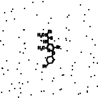 CCN(C)C(=S)Nc1cc(Br)c(OC2CCC(C(C)C)CC2)nc1C